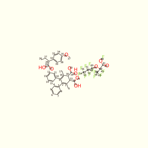 CC1=C(c2ccccc2)C(c2ccccc2)=C(C)C(C(=O)O)C1C(=O)O.CCC(C(=O)O)c1ccc(OC)cc1.O=C(OF)C(F)(OC(F)(F)C(F)(F)C(F)(F)F)C(F)(F)F